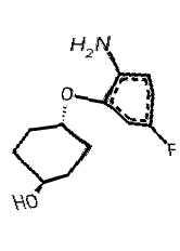 Nc1ccc(F)cc1O[C@H]1CC[C@H](O)CC1